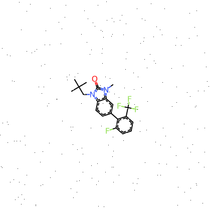 Cn1c(=O)n(CC(C)(C)C)c2ccc(-c3c(F)cccc3C(F)(F)F)cc21